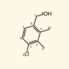 Cc1c(Cl)ccc(CO)c1C